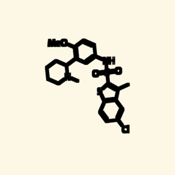 COc1ccc(NS(=O)(=O)c2sc3ccc(Cl)cc3c2C)cc1C1CCCCN1C